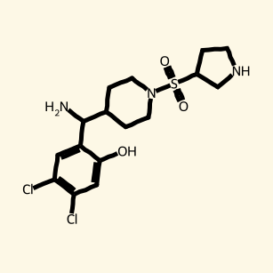 NC(c1cc(Cl)c(Cl)cc1O)C1CCN(S(=O)(=O)C2CCNC2)CC1